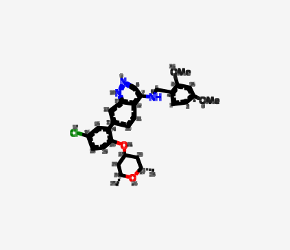 COc1ccc(CNc2cnnc3cc(-c4cc(Cl)ccc4O[C@@H]4C[C@@H](C)O[C@@H](C)C4)ccc23)c(OC)c1